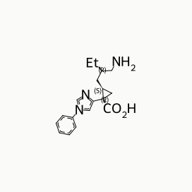 CC[C@@H](CN)C[C@H]1C[C@]1(C(=O)O)c1cn(-c2ccccc2)cn1